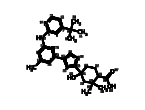 Cc1cc(Nc2cc(C(C)(C)C)ccn2)nc(-c2cnc(C3(O)CCC(C(=O)O)C(C)(C)C3)s2)c1